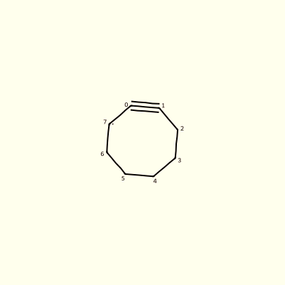 C1#CCCCCC[CH]1